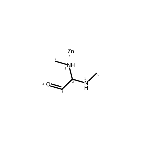 CNC(C=O)NC.[Zn]